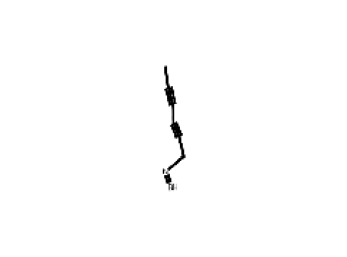 B=NCC#CC#CC